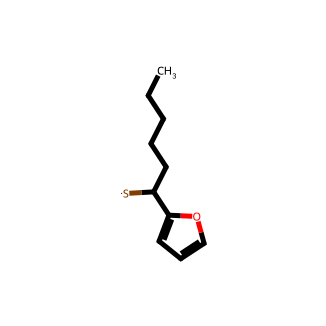 CCCCCC([S])c1ccco1